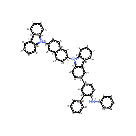 c1ccc(Nc2ccc(-c3ccc4c(c3)c3ccccc3n4-c3ccc4cc(-n5c6ccccc6c6ccccc65)ccc4c3)cc2-c2ccccc2)cc1